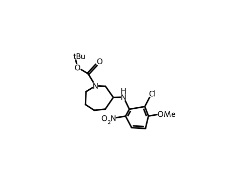 COc1ccc([N+](=O)[O-])c(NC2CCCCN(C(=O)OC(C)(C)C)C2)c1Cl